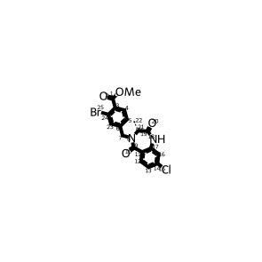 COC(=O)c1ccc(CN2C(=O)c3ccc(Cl)cc3NC(=O)[C@H]2C)cc1Br